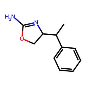 CC(c1ccccc1)C1COC(N)=N1